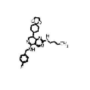 CCCCNc1ncc2c(n1)C(C1CCC3(CC1)OCCO3)CN=C2NCc1ccc(F)cc1